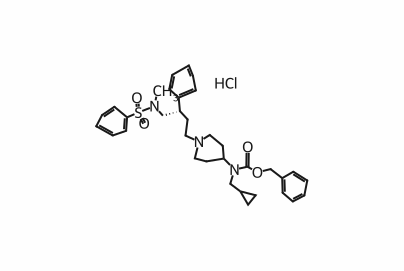 CN(C[C@@H](CCN1CCC(N(CC2CC2)C(=O)OCc2ccccc2)CC1)c1ccccc1)S(=O)(=O)c1ccccc1.Cl